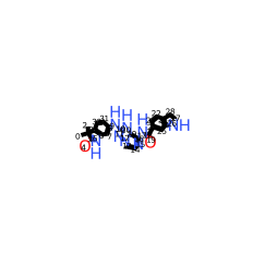 CC1(C)C(=O)Nc2cc(NC3=NN4C=CN=C(NC(=O)c5ccc6c(c5)NCC6)C4N3)ccc21